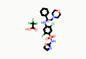 O=C(O)C(F)(F)F.O=S(=O)(Nc1nccs1)c1cc(Cl)c(N[C@H](CN2CCOCC2)c2ccccc2)cc1F